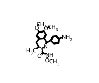 CONC(=O)N1N=C(c2ccc(N)cc2)c2cc(OC)c(OC)cc2CC1C